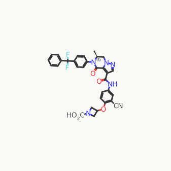 C[C@H]1Cn2ncc(C(=O)Nc3ccc(OC4CN(C(=O)O)C4)c(C#N)c3)c2C(=O)N1c1ccc(C(F)(F)c2ccccc2)cc1